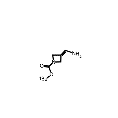 CC(C)(C)OC(=O)N1CC(=CN)C1